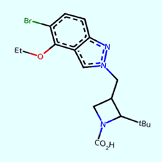 CCOc1c(Br)ccc2nn(CC3CN(C(=O)O)C3C(C)(C)C)cc12